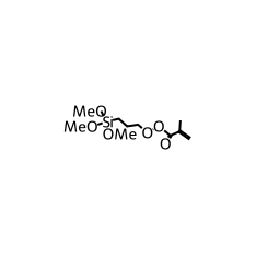 C=C(C)C(=O)OOCCC[Si](OC)(OC)OC